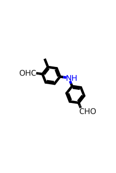 Cc1cc(Nc2ccc(C=O)cc2)ccc1C=O